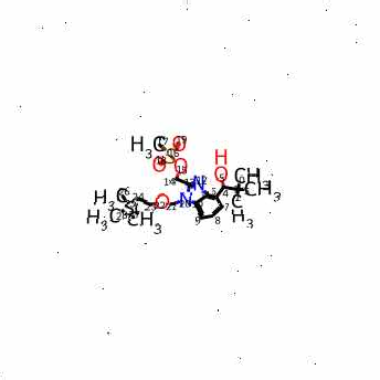 CC(C)(C)C(O)c1cccc2c1nc(COS(C)(=O)=O)n2COCC[Si](C)(C)C